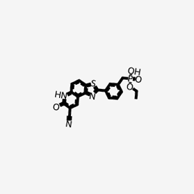 CCOP(=O)(O)Cc1cccc(-c2nc3c(ccc4[nH]c(=O)c(C#N)cc43)s2)c1